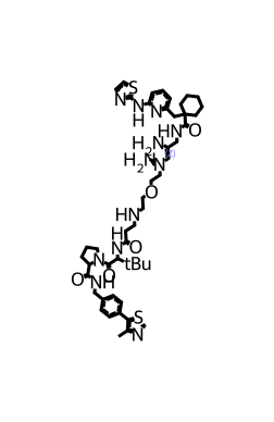 Cc1ncsc1-c1ccc(CNC(=O)C2CCCN2C(=O)C(NC(=O)CCNCCOCCN(N)/C=C(\N)CNC(=O)C2(Cc3cccc(Nc4nccs4)n3)CCCCC2)C(C)(C)C)cc1